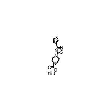 CC(C)(C)OC(=O)N1CCN(c2nc(-c3ccsc3)ns2)CC1